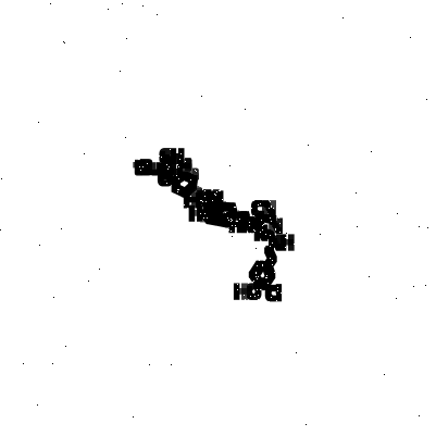 CC(C)(C)[Si](C)(C)O[C@H]1CC[C@H](CN[C@@H]2[C@@H]3CC4C[C@H]2C[C@@](CNc2nc(NCCc5ccc(O)c(Cl)c5)ncc2C#N)(C4)C3)CC1